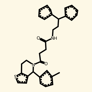 Cc1cccc(C2c3ccsc3CCN2C(=O)CCC(=O)NCCC(c2ccccc2)c2ccccc2)c1